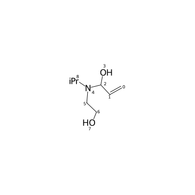 C=CC(O)N(CCO)C(C)C